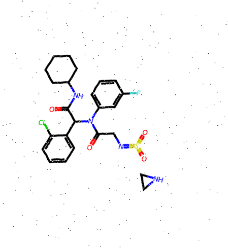 C1CN1.O=C(NC1CCCCC1)C(c1ccccc1Cl)N(C(=O)CN=S(=O)=O)c1cccc(F)c1